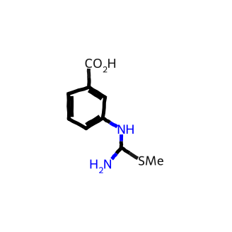 CSC(N)Nc1cccc(C(=O)O)c1